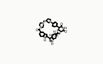 C[C@@]12Cc3[nH]nc(-c4cc5cc(C(=O)N6CCN(C[C@@H]7CCN(c8ccc(C9CCC(=O)NC9=O)cc8)C7)CC6)ccc5[nH]4)c3C[C@@H]1C2(F)F